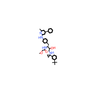 COCC(=O)N[C@@H](Cc1ccc(Nc2cc(-c3ccccc3)cc(C)n2)cc1)[C@@H](O)CNC1(c2cccc(C(C)(C)C)c2)CC1